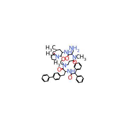 CC(C)CC(NC(=O)C(CN)N(C)C(=O)CCN(C)C(=O)C(Cc1ccc(-c2ccccc2)cc1)NC(=O)C(c1ccccc1)c1ccccc1)C(=O)N1CCCC1